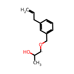 C=CCc1cccc(CO[CH]C(C)O)c1